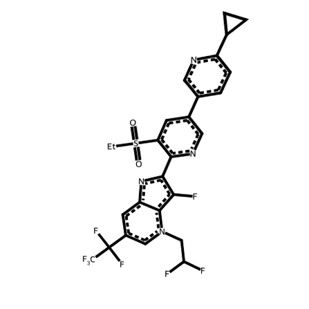 CCS(=O)(=O)c1cc(-c2ccc(C3CC3)nc2)cnc1-c1nc2cc(C(F)(F)C(F)(F)F)cn(CC(F)F)c-2c1F